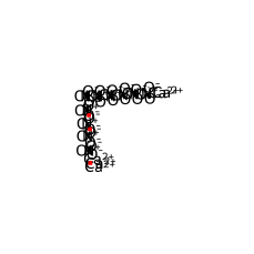 O=[N+]([O-])[O-].O=[N+]([O-])[O-].O=[N+]([O-])[O-].O=[N+]([O-])[O-].O=[N+]([O-])[O-].O=[N+]([O-])[O-].O=[N+]([O-])[O-].O=[N+]([O-])[O-].O=[N+]([O-])[O-].O=[N+]([O-])[O-].[Ca+2].[Ca+2].[Ca+2].[Ca+2].[Ca+2]